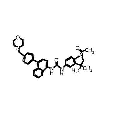 CC(=O)N1CC(C)(C)c2cc(NC(=O)Nc3ccc(-c4ccc(CN5CCOCC5)nc4)c4ccccc34)ccc21